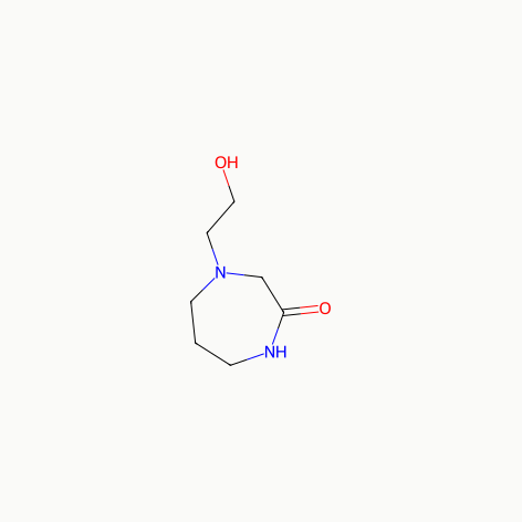 O=C1CN(CCO)CCCN1